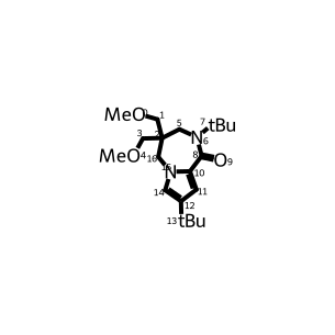 COCC1(COC)CN(C(C)(C)C)C(=O)c2cc(C(C)(C)C)cn2C1